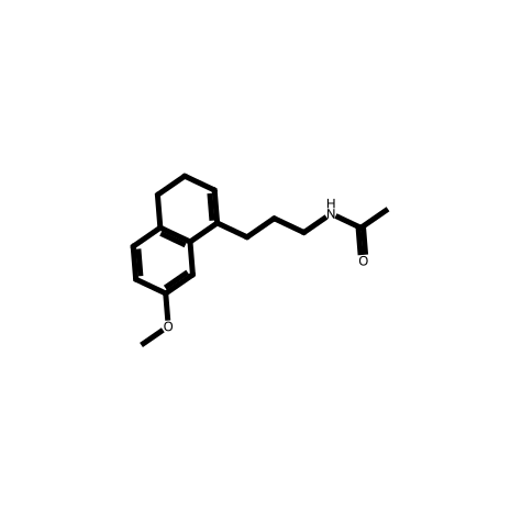 COc1ccc2c(c1)C(CCCNC(C)=O)=CCC2